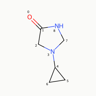 O=C1CN(C2CC2)CN1